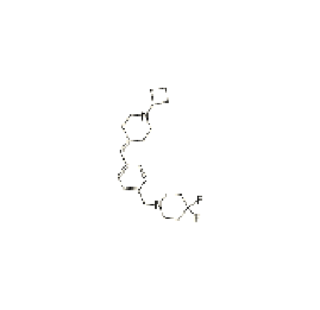 FC1(F)CCN(Cc2ccc(C=C3CCN(C4CCC4)CC3)cc2)CC1